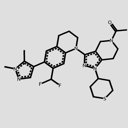 CC(=O)N1CCc2c(c(N3CCCc4cc(-c5cnn(C)c5C)c(C(F)F)cc43)nn2C2CCSCC2)C1